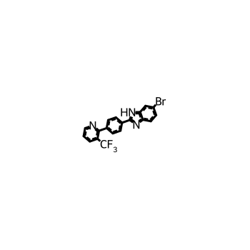 FC(F)(F)c1cccnc1-c1ccc(-c2nc3ccc(Br)cc3[nH]2)cc1